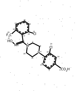 O=C(O)c1cnc(N2CCN(C(=NO)c3c(Cl)cccc3C(F)(F)F)CC2)c(Cl)c1